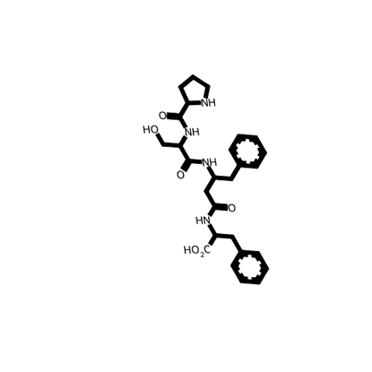 O=C(CC(Cc1ccccc1)NC(=O)C(CO)NC(=O)C1CCCN1)NC(Cc1ccccc1)C(=O)O